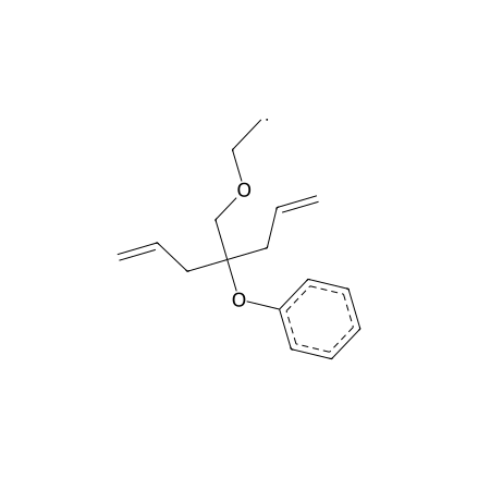 [CH2]COCC(CC=C)(CC=C)Oc1ccccc1